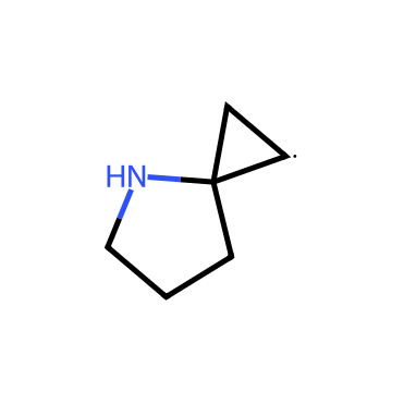 [CH]1CC12CCCN2